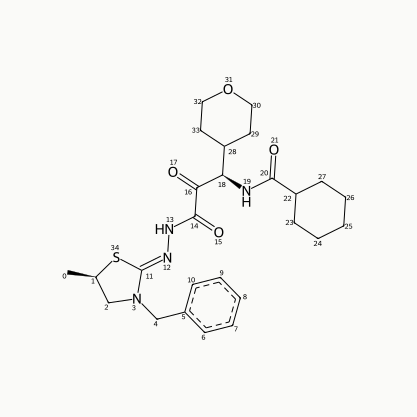 C[C@@H]1CN(Cc2ccccc2)C(=NNC(=O)C(=O)[C@H](NC(=O)C2CCCCC2)C2CCOCC2)S1